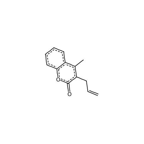 C=CCc1c(C)c2ccccc2oc1=O